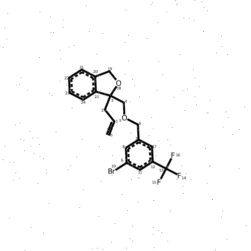 C=CCC1(COCc2cc(Br)cc(C(F)(F)F)c2)OCc2ccccc21